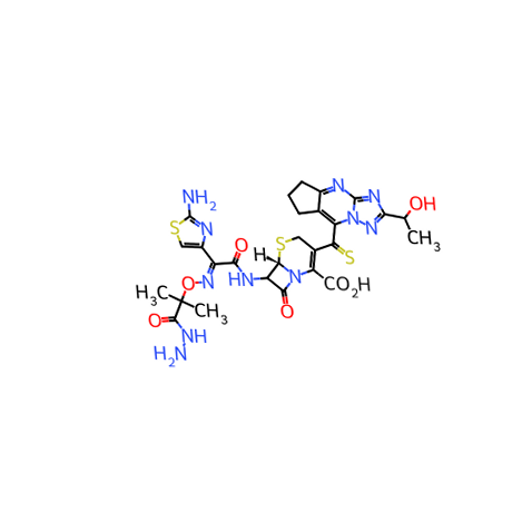 CC(O)c1nc2nc3c(c(C(=S)C4=C(C(=O)O)N5C(=O)C(NC(=O)C(=NOC(C)(C)C(=O)NN)c6csc(N)n6)[C@@H]5SC4)n2n1)CCC3